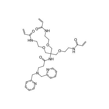 C=CC(=O)NCCOCC(COCCNC(=O)C=C)(COCCNC(=O)C=C)NC(=O)CCN(Cc1ccccn1)Cc1ccccn1